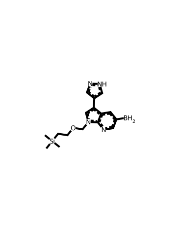 Bc1cnc2c(c1)c(-c1cn[nH]c1)cn2COCC[Si](C)(C)C